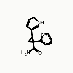 NC(=O)C1(c2ccccn2)CC1C1=CNCC=C1